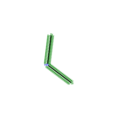 BrC(Br)(Br)C(Br)(Br)C(Br)(Br)C(Br)(Br)C(Br)(Br)C(Br)(Br)C(Br)(Br)C(Br)(Br)C(Br)(Br)C(Br)(Br)C(Br)(Br)C(Br)(Br)C(Br)(Br)C(Br)(Br)C(Br)(Br)C(Br)(Br)C(Br)(Br)C(Br)(Br)C(Br)(Br)C(Br)(Br)NC(Br)(Br)C(Br)(Br)C(Br)(Br)C(Br)(Br)C(Br)(Br)C(Br)(Br)C(Br)(Br)C(Br)(Br)C(Br)(Br)C(Br)(Br)C(Br)(Br)C(Br)(Br)C(Br)(Br)C(Br)(Br)C(Br)(Br)C(Br)(Br)C(Br)(Br)C(Br)(Br)C(Br)(Br)C(Br)(Br)Br